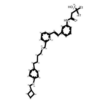 CCC(CC)(CC(=O)Nc1cccc(/C=C/c2cccc(COCCCCc3ccc(OCC4CCC4)cc3)n2)c1)C(=O)O